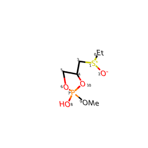 CC[S+]([O-])CC1CO[P](O)(OC)O1